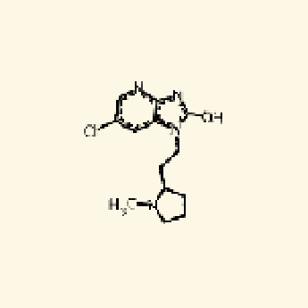 CN1CCCC1CCn1c(O)nc2ncc(Cl)cc21